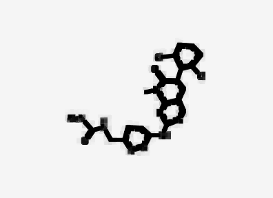 CNC(=O)NCc1ccc(Nc2ncc3cc(-c4c(Cl)cccc4Cl)c(=O)n(C)c3n2)nn1